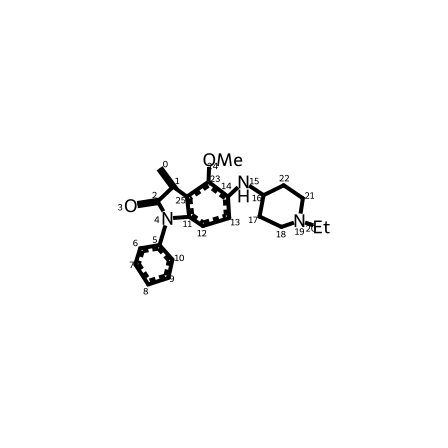 C=C1C(=O)N(c2ccccc2)c2ccc(NC3CCN(CC)CC3)c(OC)c21